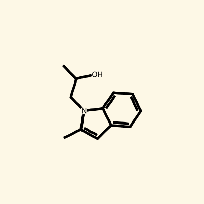 Cc1cc2ccccc2n1CC(C)O